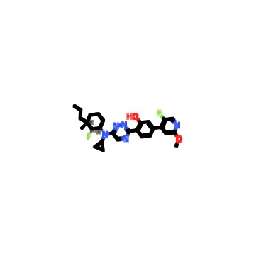 CCC[C@]1(C)CCC[C@H](N(c2cnc(-c3ccc(-c4cc(OC)ncc4F)cc3O)nn2)C2CC2)[C@@H]1F